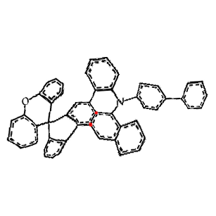 c1ccc(-c2ccc(N(c3ccccc3-c3ccc4c(c3)C3(c5ccccc5Oc5ccccc53)c3ccccc3-4)c3cccc4ccccc34)cc2)cc1